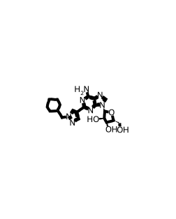 Nc1nc(-c2cnn(CC3CCCCC3)c2)nc2c1ncn2[C@@H]1O[C@H](CO)[C@@H](O)[C@H]1O